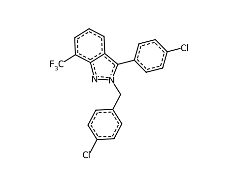 FC(F)(F)c1cccc2c(-c3ccc(Cl)cc3)n(Cc3ccc(Cl)cc3)nc12